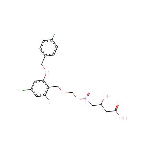 O=C(O)CC(O)C[PH](=O)OCOCc1c(Cl)cc(Cl)cc1OCc1ccc(F)cc1